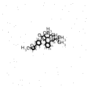 Cc1ccc(-c2ccc(N3C(=O)C(O)=C(C(=O)C(C)C)C3c3ccccc3CCC(=O)N(C)C)cc2)o1